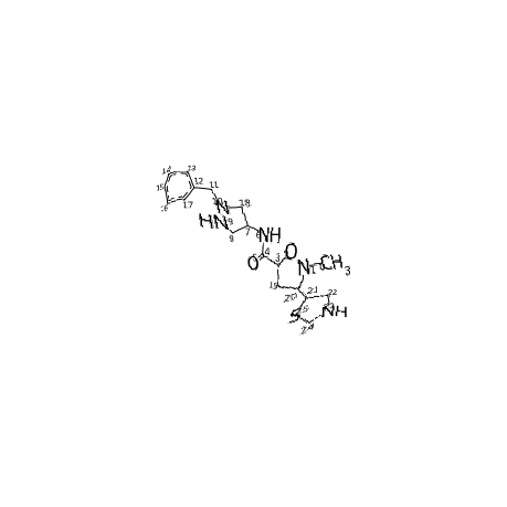 CN1OC(C(=O)NC2CNN(Cc3ccccc3)C2)CC1C1CNCS1